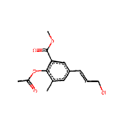 COC(=O)c1cc(C=CCO)cc(C)c1OC(C)=O